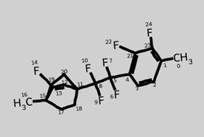 Cc1ccc(C(F)(F)C(F)(F)C23C=C(F)C(C)(CC2)CC3)c(F)c1F